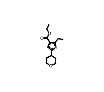 CCOC(=O)c1cc(C2CCOCC2)sc1CC